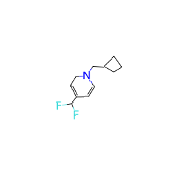 FC(F)C1=CCN(CC2CCC2)C=C1